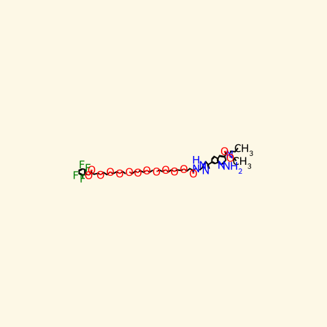 CCCN(OCC)C(=O)C1=Cc2ccc(-c3cnc(CNC(=O)CCOCCOCCOCCOCCOCCOCCOCCOCCOCCOCCC(=O)Oc4c(F)c(F)cc(F)c4F)nc3)cc2N=C(N)C1